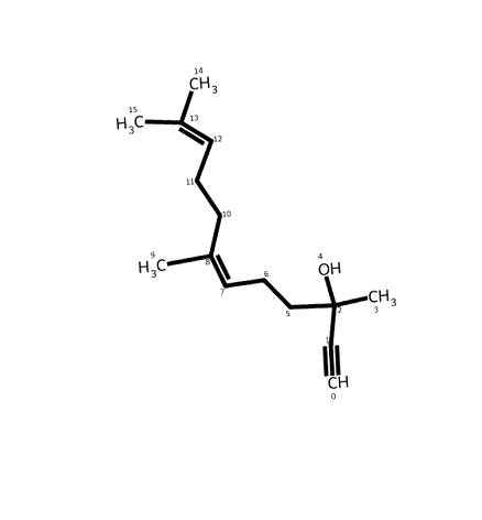 C#CC(C)(O)CCC=C(C)CCC=C(C)C